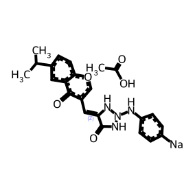 CC(=O)O.CC(C)c1ccc2occ(/C=C3\NN(Nc4cc[c]([Na])cc4)NC3=O)c(=O)c2c1